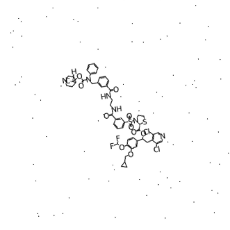 O=C(NCCNC(=O)c1cccc(S(=O)(=O)N2CCS[C@H]2C(=O)OC(Cc2c(Cl)cncc2Cl)c2ccc(OC(F)F)c(OCC3CC3)c2)c1)c1cccc(CN(C(=O)O[C@H]2CN3CCC2CC3)c2ccccc2)c1